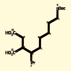 CCCCCCCCCCCCCCCC(C(C)C)C(CC(=O)O)C(=O)O